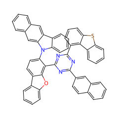 c1ccc2cc(-c3nc(-c4c(-n5c6ccccc6c6cc7ccccc7cc65)ccc5c4oc4ccccc45)nc(-c4cccc5sc6ccccc6c45)n3)ccc2c1